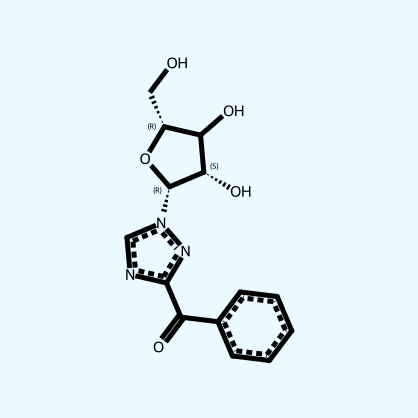 O=C(c1ccccc1)c1ncn([C@@H]2O[C@H](CO)C(O)[C@@H]2O)n1